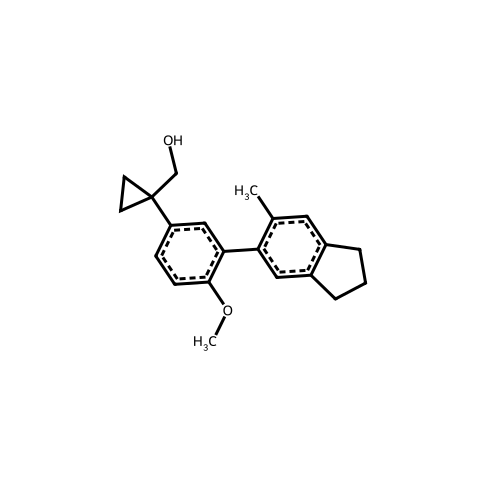 COc1ccc(C2(CO)CC2)cc1-c1cc2c(cc1C)CCC2